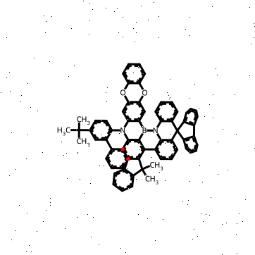 CC(C)(C)c1ccc(N2c3cc4c(cc3B3c5c2cc2c(c5-c5cccc6c5N3c3ccccc3C63c5ccccc5-c5ccccc53)C(C)(C)c3ccccc3-2)Oc2ccccc2O4)c(-c2ccccc2)c1